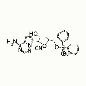 CC(C)(C)[Si](OC[C@H]1[CH][C@@H](O)[C@](C#N)(c2ccc3c(N)ncnn23)O1)(c1ccccc1)c1ccccc1